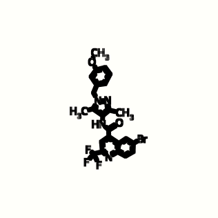 COc1cccc(Cn2nc(C)c(NC(=O)c3cc(C(F)(F)F)nc4ccc(Br)cc34)c2C)c1